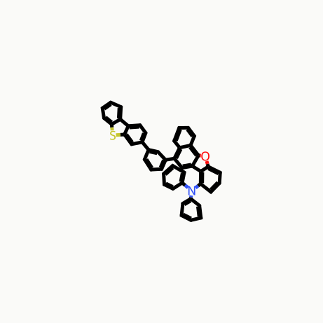 c1ccc(N(c2ccccc2)c2cccc3oc4c5ccccc5c(-c5cccc(-c6ccc7c(c6)sc6ccccc67)c5)cc4c23)cc1